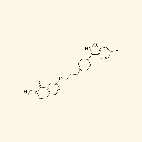 CN1CCc2ccc(OCCCN3CCC(C4NOc5cc(F)ccc54)CC3)cc2C1=O